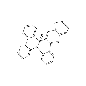 S=P12c3ccccc3-c3cnccc3N1c1ccccc1-c1cc3ccccc3cc12